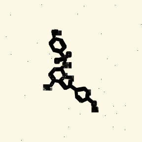 CCOc1ccc(-c2cc3c(C#N)ccc(NS(=O)(=O)c4ccc(C(C)(C)C)cc4)n3n2)cn1